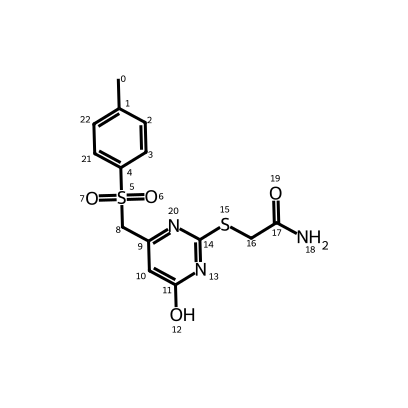 Cc1ccc(S(=O)(=O)Cc2cc(O)nc(SCC(N)=O)n2)cc1